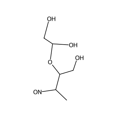 CC(N=O)C(CO)OC(O)CO